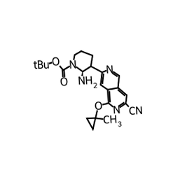 CC(C)(C)OC(=O)N1CCCC(c2cc3c(OC4(C)CC4)nc(C#N)cc3cn2)[C@H]1N